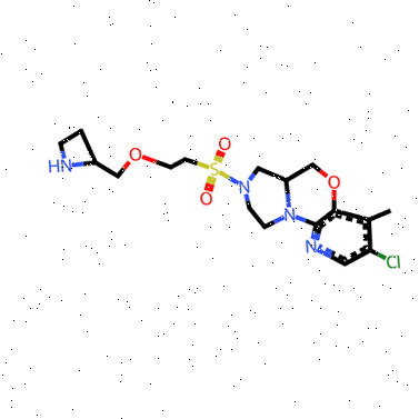 Cc1c(Cl)cnc2c1OCC1CN(S(=O)(=O)CCOCC3CCN3)CCN21